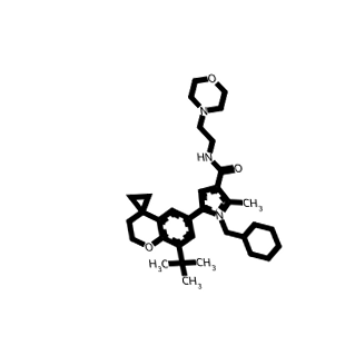 Cc1c(C(=O)NCCN2CCOCC2)cc(-c2cc(C(C)(C)C)c3c(c2)C2(CCO3)CC2)n1CC1CCCCC1